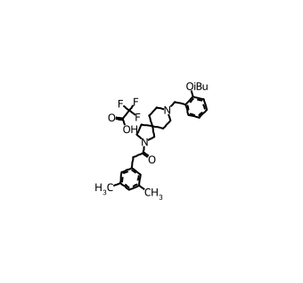 Cc1cc(C)cc(CC(=O)N2CCC3(CCN(Cc4ccccc4OCC(C)C)CC3)C2)c1.O=C(O)C(F)(F)F